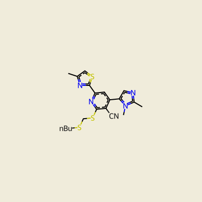 CCCCSCSc1nc(-c2nc(C)cs2)cc(-c2cnc(C)n2C)c1C#N